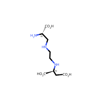 N[C@@H](CNCCN[C@@H](CC(=O)O)C(=O)O)C(=O)O